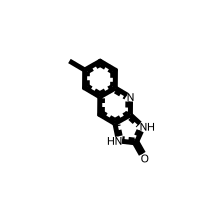 Cc1ccc2nc3[nH]c(=O)[nH]c3cc2c1